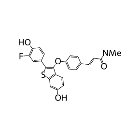 CNC(=O)C=Cc1ccc(Oc2c(-c3ccc(O)c(F)c3)sc3cc(O)ccc23)cc1